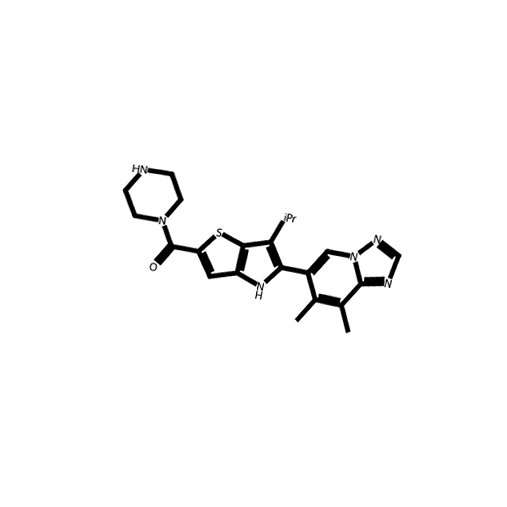 Cc1c(-c2[nH]c3cc(C(=O)N4CCNCC4)sc3c2C(C)C)cn2ncnc2c1C